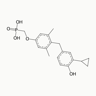 Cc1cc(OCP(=O)(O)O)cc(C)c1Cc1ccc(O)c(C2CC2)c1